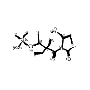 C=CC(C)(C(=O)N1C(=O)OCC1C(C)C)C(C)O[Si](C)(C)C(C)(C)C